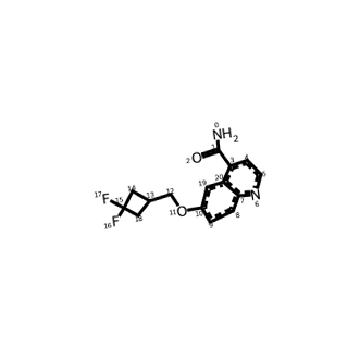 NC(=O)c1ccnc2ccc(OCC3CC(F)(F)C3)cc12